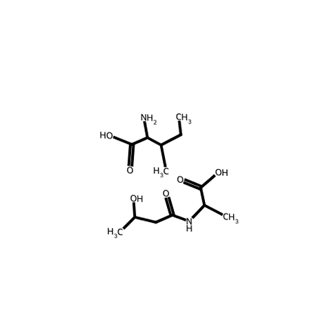 CC(O)CC(=O)NC(C)C(=O)O.CCC(C)C(N)C(=O)O